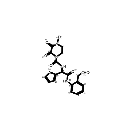 CCN1CCN(C(=O)NC(C(=O)Nc2ccccc2C[C]=O)c2cccs2)C(=O)C1=O